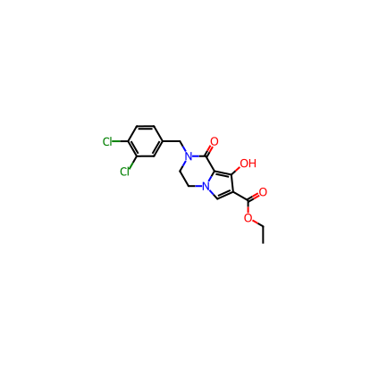 CCOC(=O)c1cn2c(c1O)C(=O)N(Cc1ccc(Cl)c(Cl)c1)CC2